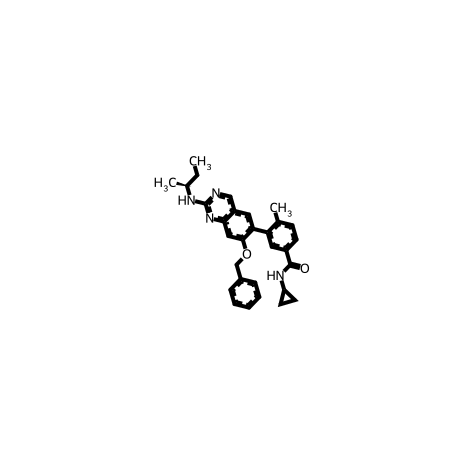 CC[C@H](C)Nc1ncc2cc(-c3cc(C(=O)NC4CC4)ccc3C)c(OCc3ccccc3)cc2n1